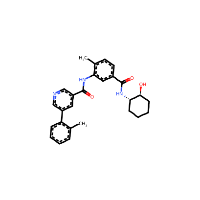 Cc1ccc(C(=O)N[C@H]2CCCC[C@@H]2O)cc1NC(=O)c1cncc(-c2ccccc2C)c1